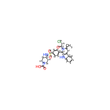 C[C@H]1Cc2c([nH]c3ccccc23)[C@@H](c2ccc(S(=O)(=O)NC3CCN(C(=O)O)CC3)cc2)N1C(=O)CCl